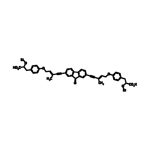 CCOC(Cc1ccc(OC/C=C(\C)C#Cc2ccc3c(c2)C(=O)c2cc(C#C/C(C)=C/COc4ccc(CC(OCC)C(=O)O)cc4)ccc2-3)cc1)C(=O)O